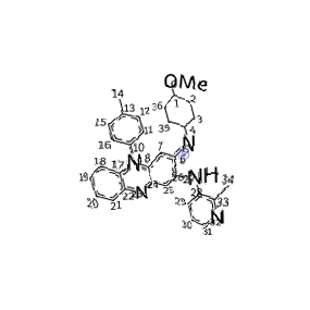 COC1CCC(/N=c2\cc3n(-c4ccc(C)cc4)c4ccccc4nc-3cc2Nc2cccnc2C)CC1